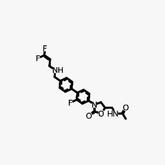 CC(=O)NCC1CN(c2ccc(-c3ccc(CNCC=C(F)F)cc3)c(F)c2)C(=O)O1